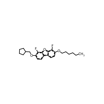 CCCCCCOc1ccc2c(oc3c(F)c(OCC4CCCC4)ccc32)c1F